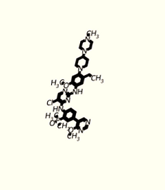 CCc1cc(Nc2ncc(Cl)c(Nc3ccc(-c4cncnc4OC)cc3P(C)(C)=O)n2)c(OC)cc1N1CCC(N2CCN(C)CC2)CC1